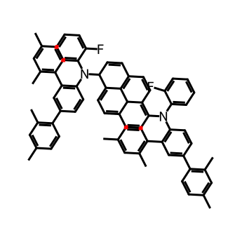 Cc1ccc(-c2ccc(N(C3=C4C=CC5=C6C(=CC=C(C=C3)C46)C(N(c3ccccc3F)c3ccc(-c4ccc(C)cc4C)cc3-c3ccc(C)cc3C)C=C5)c3ccccc3F)c(-c3ccc(C)cc3C)c2)c(C)c1